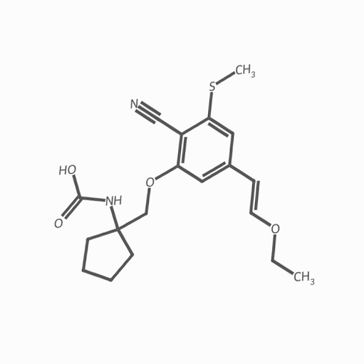 CCO/C=C/c1cc(OCC2(NC(=O)O)CCCC2)c(C#N)c(SC)c1